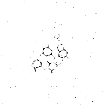 O=c1[nH]cccc1Cn1c(=O)nc(Nc2cc3cn(C4COC4)nc3cc2Cl)n(Cc2cc(F)c(F)c(F)c2)c1=O